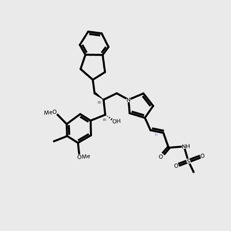 COc1cc([C@@H](O)[C@@H](CC2Cc3ccccc3C2)Cn2ccc(/C=C/C(=O)NS(C)(=O)=O)c2)cc(OC)c1C